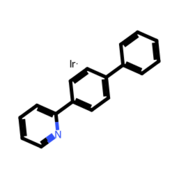 [Ir].c1ccc(-c2ccc(-c3ccccn3)cc2)cc1